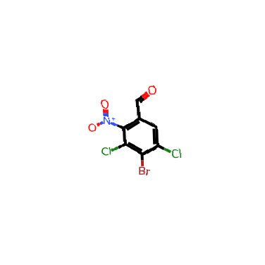 O=Cc1cc(Cl)c(Br)c(Cl)c1[N+](=O)[O-]